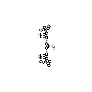 CC1(C)c2cc(/C=C/c3ccc4c(c3)C(C)(C)c3cc(N(C5=CC=C6C=CC=CC6C5)c5cc6ccccc6c6ccccc56)ccc3-4)ccc2-c2ccc(/C=C/c3ccc4c(c3)C(C)(C)c3cc(N(c5ccc6ccccc6c5)c5cc6ccccc6c6ccccc56)ccc3-4)cc21